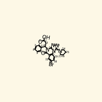 O=C(O)CC(c1ccccc1)n1c(=O)c2cc(Br)ccc2n2c(N3CCCC3)nnc12